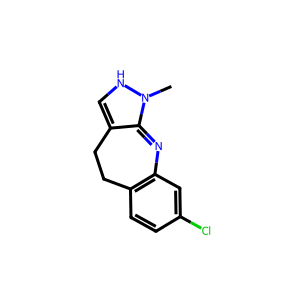 CN1NC=C2CCc3ccc(Cl)cc3N=C21